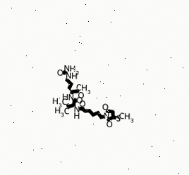 CSC1CC(=O)N(CCCCCC(=O)NC(C(=O)N[C@@H](CCCNC(N)=O)C(C)=O)C(C)C)C1=O